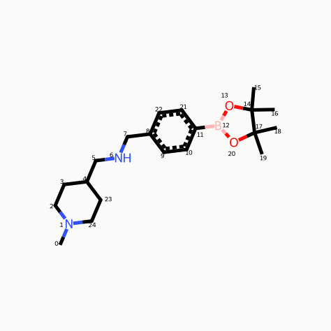 CN1CCC(CNCc2ccc(B3OC(C)(C)C(C)(C)O3)cc2)CC1